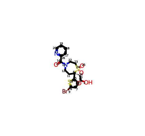 O=C(O)C[C@]1(c2ccc(Br)s2)CCN(C(=O)c2ccccn2)CCS1(=O)=O